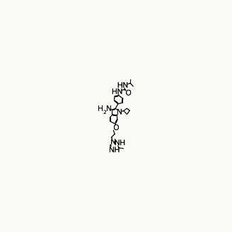 CCNN(C=N)CCCOc1ccc2c(N)c(-c3ccc(NC(=O)NC(C)C)cc3)n(C3CCC3)c2c1